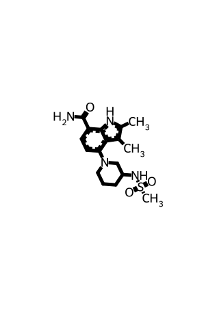 Cc1[nH]c2c(C(N)=O)ccc(N3CCCC(NS(C)(=O)=O)C3)c2c1C